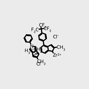 CC1=C2c3cn(-c4ccccc4)cc3C1[Si]2(C)C.CC1=Cc2c(-c3ccc(C(C(F)(F)F)(C(F)(F)F)C(F)(F)F)cc3)cccc2[CH]1[Zr+2].[Cl-].[Cl-]